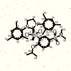 [CH2]=[Ru]([Cl])([Cl])(=[C]1N(c2c(C)cc(C)cc2C)CCN1c1c(C)cc(C)cc1C)[c]1cc(S(=O)(=O)N(C)C)ccc1OC(C)C